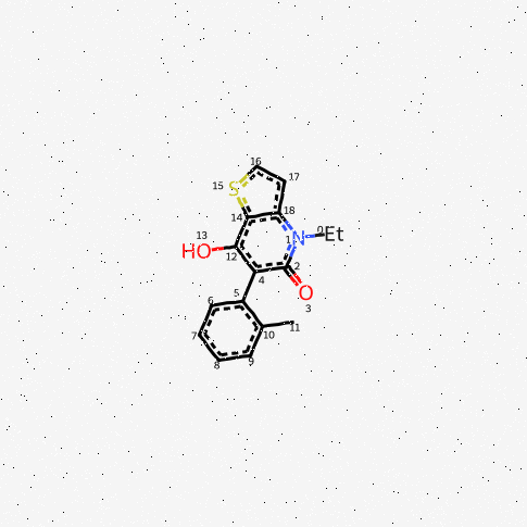 CCn1c(=O)c(-c2ccccc2C)c(O)c2sccc21